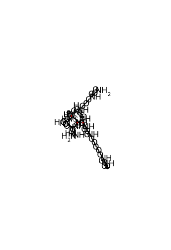 CC(C)(C)OC(=O)NOCC(=O)NCCOCCOCCOCCOCCOCCNC(=O)COCC(=O)NCCCC[C@@H]1NC(=O)CSC[C@@H](C(=O)NCCOCCOCCOCCNC(=O)COCC(N)=O)NC(=O)[C@H](Cc2ccccc2)NC(=O)[C@@H]2CSSC[C@H](NC1=O)C(=O)N[C@@H](CCCNC(=N)N)C(=O)NCC(=O)N[C@@H](CC(=O)O)C(=O)N2